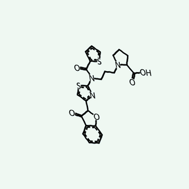 O=C1c2ccccc2OC1c1csc(N(CCCN2CCCC2C(=O)O)C(=O)c2cccs2)n1